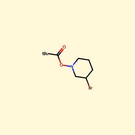 CC(C)(C)C(=O)ON1CCCC(Br)C1